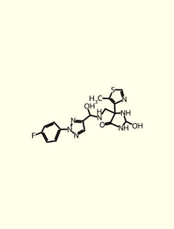 Cc1scnc1C1(CNC(O)c2cnn(-c3ccc(F)cc3)n2)NC(O)NC1=O